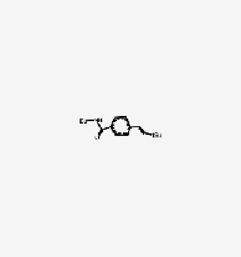 CCC(C)NC(=O)c1ccc(/C=C/C(C)(C)C)cc1